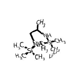 CC(CN[Si](C)(C)C)N[Si](C)(C)C.[Li].[Li]